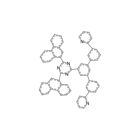 c1ccc(-c2cccc(-c3cc(-c4cccc(-c5ccccn5)c4)cc(-c4nc(-c5cc6ccccc6c6ccccc56)nc(-c5cc6ccccc6c6ccccc56)n4)c3)c2)nc1